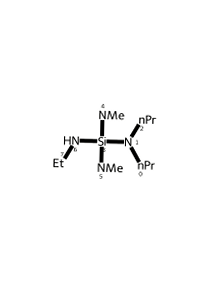 CCCN(CCC)[Si](NC)(NC)NCC